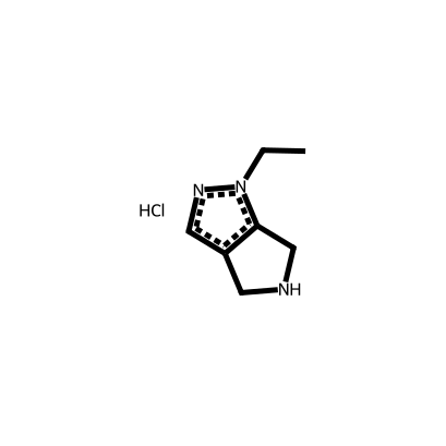 CCn1ncc2c1CNC2.Cl